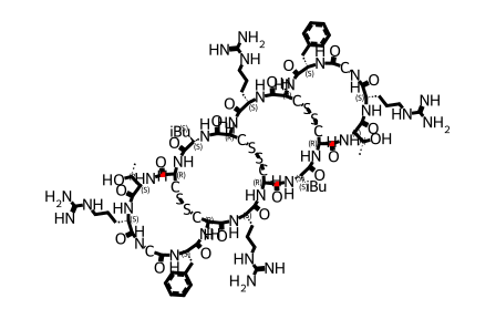 CC[C@H](C)[C@@H]1NC(=O)[C@@H]2CSSC[C@H](NC(=O)[C@H](CCCNC(=N)N)NC(=O)[C@@H]3CSSC[C@H](NC1=O)C(=O)N[C@@H]([C@@H](C)O)C(=O)N[C@@H](CCCNC(=N)N)C(=O)NCC(=O)N[C@@H](Cc1ccccc1)C(=O)N3)C(=O)N[C@@H]([C@@H](C)CC)C(=O)N[C@H]1CSSC[C@H](NC(=O)[C@H](Cc3ccccc3)NC(=O)CNC(=O)[C@H](CCCNC(=N)N)NC(=O)[C@H]([C@@H](C)O)NC1=O)C(=O)N[C@@H](CCCNC(=N)N)C(=O)N2